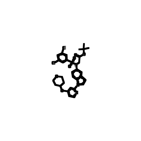 CC(C)(C)OC(=O)CN(c1ccc2c(ccn2-c2cc(OC3CCOCC3)ccn2)c1)S(=O)(=O)c1cc(Cl)cc(Cl)c1